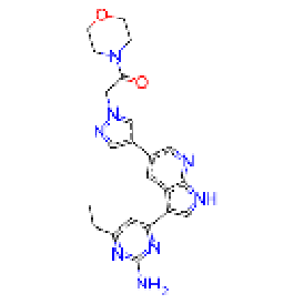 CCc1cc(-c2c[nH]c3ncc(-c4cnn(CC(=O)N5CCOCC5)c4)cc23)nc(N)n1